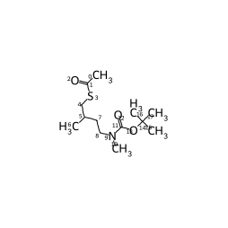 CC(=O)SCC(C)CCN(C)C(=O)OC(C)(C)C